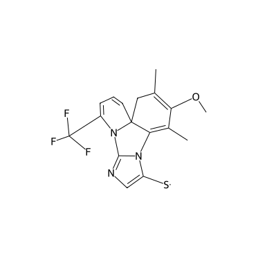 COC1=C(C)CC23C=CC=C(C(F)(F)F)N2c2ncc([S])n2C3=C1C